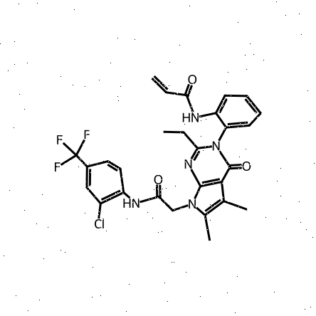 C=CC(=O)Nc1ccccc1-n1c(CC)nc2c(c(C)c(C)n2CC(=O)Nc2ccc(C(F)(F)F)cc2Cl)c1=O